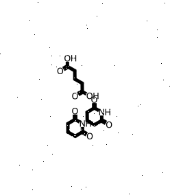 O=C(O)CCCC(=O)O.O=C1CCCC(=O)N1.O=C1CCCC(=O)N1